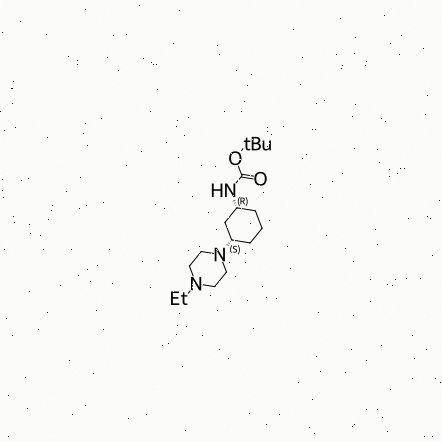 CCN1CCN([C@H]2CCC[C@@H](NC(=O)OC(C)(C)C)C2)CC1